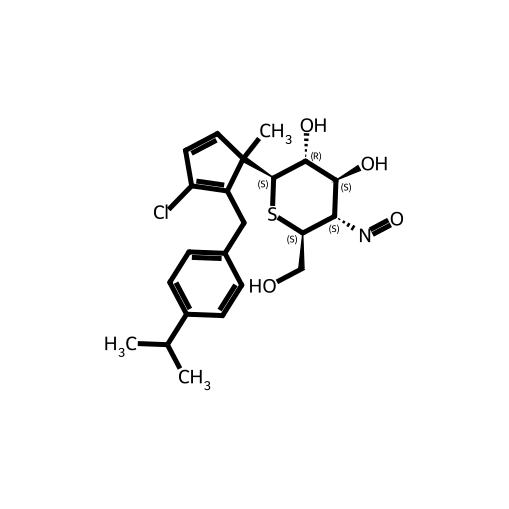 CC(C)c1ccc(CC2=C(Cl)C=CC2(C)[C@@H]2S[C@H](CO)[C@@H](N=O)[C@H](O)[C@H]2O)cc1